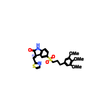 COc1cc(CCCS(=O)(=O)c2ccc3c(c2)/C(=C\c2nccs2)C(=O)N3)cc(OC)c1OC